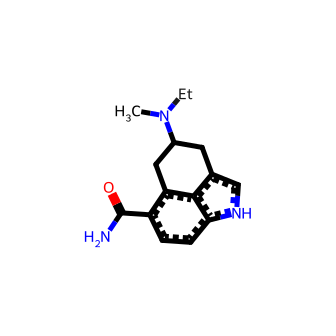 CCN(C)C1Cc2c[nH]c3ccc(C(N)=O)c(c23)C1